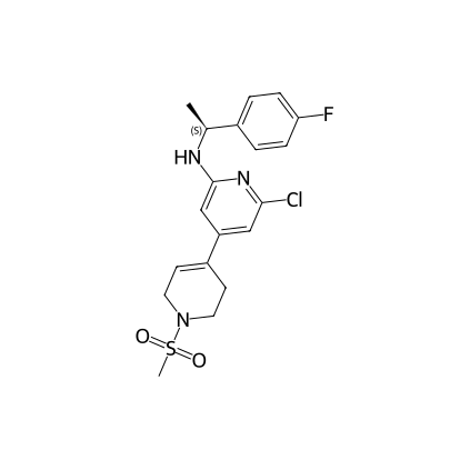 C[C@H](Nc1cc(C2=CCN(S(C)(=O)=O)CC2)cc(Cl)n1)c1ccc(F)cc1